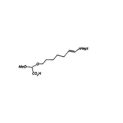 CCCCCCCC=CCCCCCOC(OC)C(=O)O